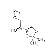 CC1(C)OC[C@H]([C@@H](O)COP)O1